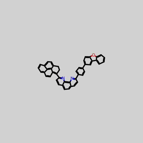 c1cc2ccc3c4c(ccc(c1)c24)=C(c1ccc2ccc4ccc(-c5ccc(-c6ccc7oc8ccccc8c7c6)cc5)nc4c2n1)CC3